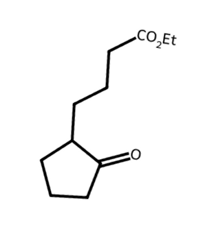 CCOC(=O)CCCC1CCCC1=O